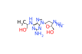 CC(CO)Nc1nc(N)nc2c1ncn2[C@H]1C[C@@H](N=[N+]=[N-])[C@@H](CO)O1